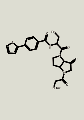 CC(=O)NCC(=O)N1CC(=O)C2C1CCN2C(=O)C(CC(C)C)NC(=O)c1ccc(-c2cccs2)cc1